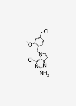 COc1cc(CCl)ccc1Cn1ccc2nc(N)nc(Cl)c21